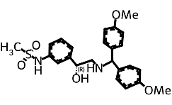 COc1ccc(C(NC[C@H](O)c2cccc(NS(C)(=O)=O)c2)c2ccc(OC)cc2)cc1